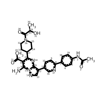 CC(=O)Nc1ccc(-c2ccc(-c3cnn4c(N)c(C(C)=O)c(C5CCN(C(=O)[C@@H](C)O)CC5)nc34)cn2)cc1